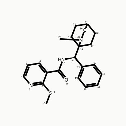 CSc1ncccc1C(=O)N[C@H](c1ccccc1)C12CCC(CC1)CN2C